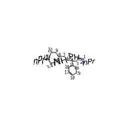 CCC/C=C\CC(P)(CCC1CCC(CCC)CN1)C1CC=CCC1